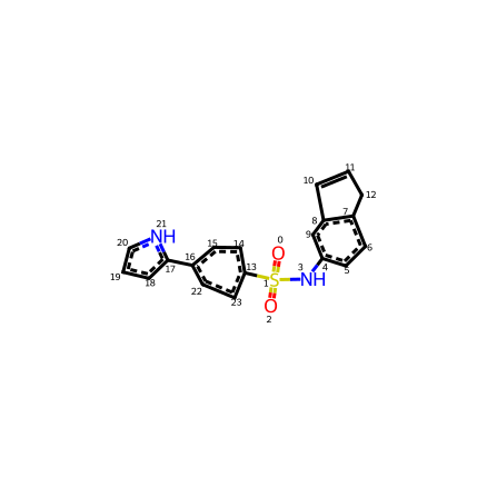 O=S(=O)(Nc1ccc2c(c1)C=CC2)c1ccc(-c2ccc[nH]2)cc1